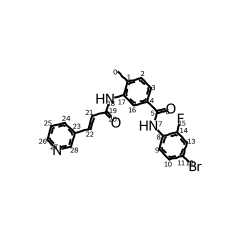 Cc1ccc(C(=O)Nc2ccc(Br)cc2F)cc1NC(=O)C=Cc1cccnc1